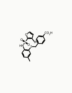 Cc1ccc(NS(=O)(=O)c2occc2C(C)C)c(SCc2ccc(C(=O)O)cc2)c1